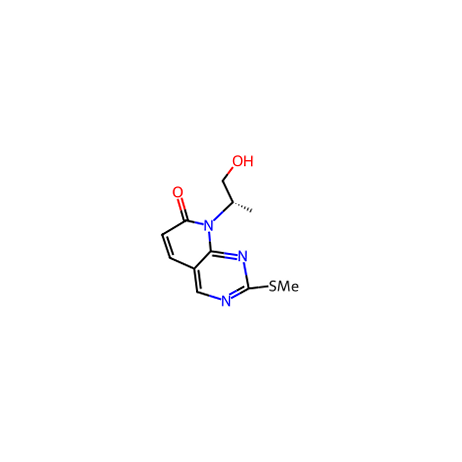 CSc1ncc2ccc(=O)n([C@@H](C)CO)c2n1